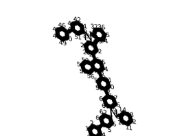 c1ccc(-c2ccc(N(c3ccccc3)c3ccc(-c4ccc(-c5ccc(-c6ccc7c(c6)c6ccccc6n7-c6cccc(-c7ccccc7)c6)c6ccccc56)cc4)cc3)cc2)cc1